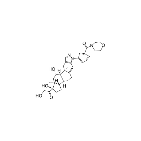 C[C@]12Cc3cnn(-c4cccc(C(=O)N5CCOCC5)c4)c3C=C1CC[C@@H]1[C@@H]2[C@@H](O)C[C@@]2(C)[C@H]1CC[C@]2(O)C(=O)CO